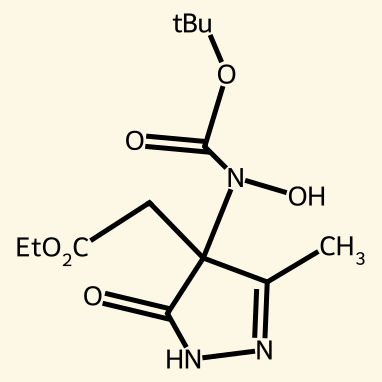 CCOC(=O)CC1(N(O)C(=O)OC(C)(C)C)C(=O)NN=C1C